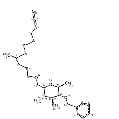 CC(CSCCN=[N+]=[N-])CSCOCC1OC(C)C(OCc2ccccc2)[C@@H](C)[C@@H]1C